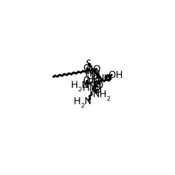 CCCCCCCCCCCCCCCC(=O)N[C@@H](CCSC)C(=O)NCC(=O)N[C@@H](Cc1ccc(O)cc1)C(=O)N[C@@H](CCC(N)=O)C(=O)N[C@@H](CCCCN)C(N)=O